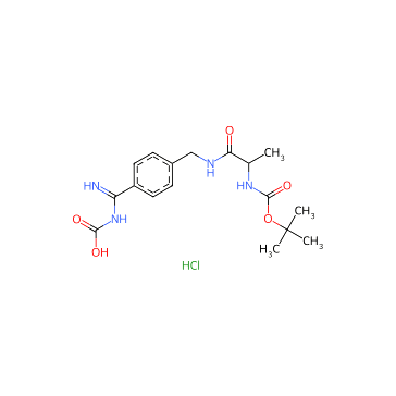 CC(NC(=O)OC(C)(C)C)C(=O)NCc1ccc(C(=N)NC(=O)O)cc1.Cl